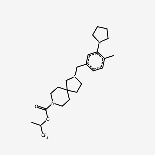 Cc1ccc(CN2CCC3(CCN(C(=O)OC(C)C(F)(F)F)CC3)C2)cc1N1CCCC1